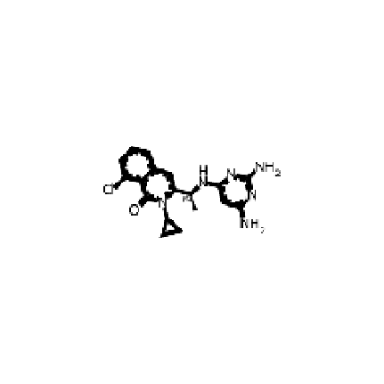 C[C@H](Nc1cc(N)nc(N)n1)c1cc2cccc(Cl)c2c(=O)n1C1CC1